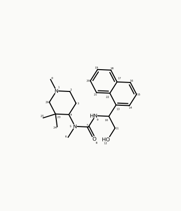 CN1CCC(N(C)C(=O)NC(CO)c2cccc3ccccc23)C(C)(C)C1